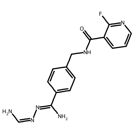 N/C=N\N=C(/N)c1ccc(CNC(=O)c2cccnc2F)cc1